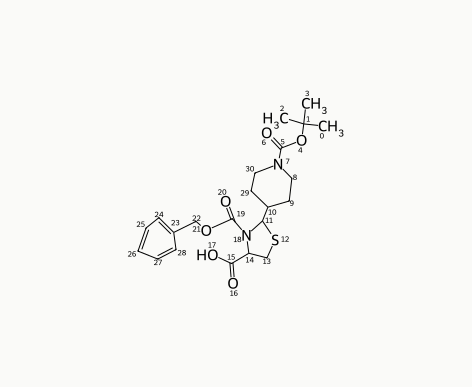 CC(C)(C)OC(=O)N1CCC(C2SCC(C(=O)O)N2C(=O)OCc2ccccc2)CC1